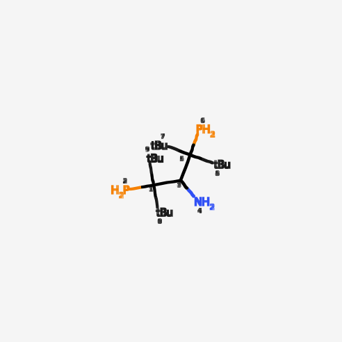 CC(C)(C)C(P)(C(N)C(P)(C(C)(C)C)C(C)(C)C)C(C)(C)C